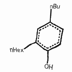 CCCCCCc1cc(CCCC)ccc1O